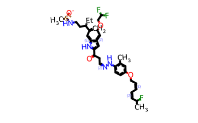 C=C(/C=c1/[nH]c(C(=O)C/C=N\Nc2ccc(OC/C=C\C=C/C(C)F)cc2C)c/c1=C/COCC(F)F)C(CC)CCN[S+](C)[O-]